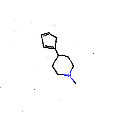 CN1CCC(C2=CC=CC2)CC1